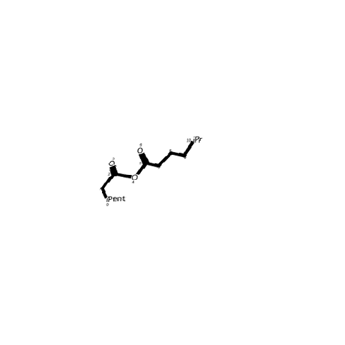 CCCC(C)CC(=O)OC(=O)CCCC(C)C